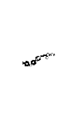 COC(=O)CCCN1CCN(c2ccc(Oc3ccc(I)cc3)cc2)CC1